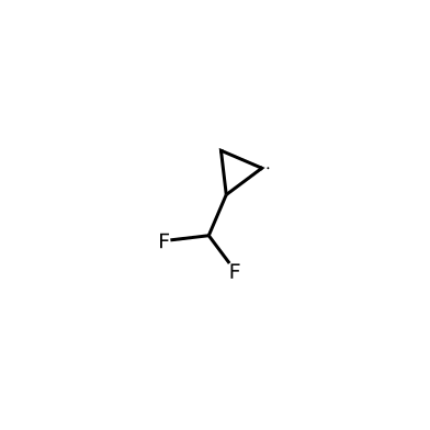 FC(F)C1[CH]C1